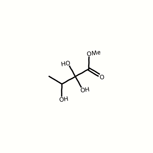 COC(=O)C(O)(O)C(C)O